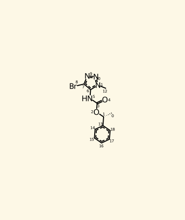 C[C@@H](OC(=O)Nc1c(Br)nnn1C)c1ccccc1